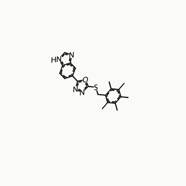 Cc1c(C)c(C)c(CSc2nnc(-c3ccc4[nH]cnc4c3)o2)c(C)c1C